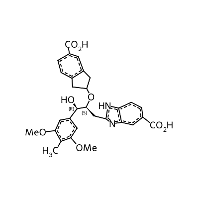 COc1cc([C@@H](O)[C@H](Cc2nc3cc(C(=O)O)ccc3[nH]2)OC2Cc3ccc(C(=O)O)cc3C2)cc(OC)c1C